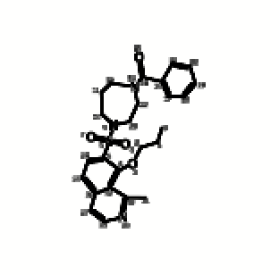 CCCOc1c(S(=O)(=O)N2CCCN(C(=O)c3ccccc3)CC2)ccc2ccnc(C)c12